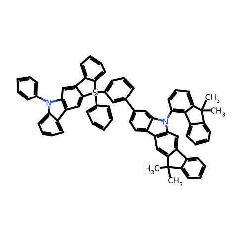 CC1(C)c2ccccc2-c2cc3c(cc21)c1ccc(-c2cccc([Si]4(c5ccccc5)c5ccccc5-c5cc6c(cc54)c4ccccc4n6-c4ccccc4)c2)cc1n3-c1cccc2c1-c1ccccc1C2(C)C